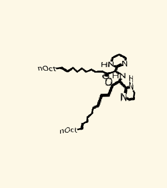 CCCCCCCCC=CCCCCCCCC(=O)C(NC(C(=O)CCCCCCCC=CCCCCCCCC)C1=NCCCN1)C1=NCCCN1